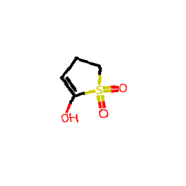 O=S1(=O)CCC=C1O